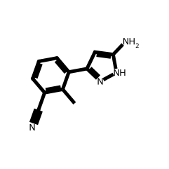 Cc1c(C#N)cccc1-c1cc(N)[nH]n1